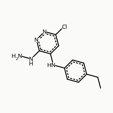 CCc1ccc(Nc2cc(Cl)nnc2NN)cc1